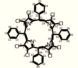 ClC1=C(Cl)c2nc1c(-c1ccccc1)c1[nH]c(c(Cl)c1Cl)c(-c1ccccc1)c1nc(c(-c3ccccc3)c3[nH]c(c(Cl)c3Cl)c2-c2ccccc2)C(Cl)=C1Cl